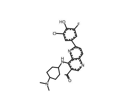 CC(=O)c1cnc2ccc(-c3cc(F)c(O)c(Cl)c3)nc2c1NC1CCC(N(C)C)CC1